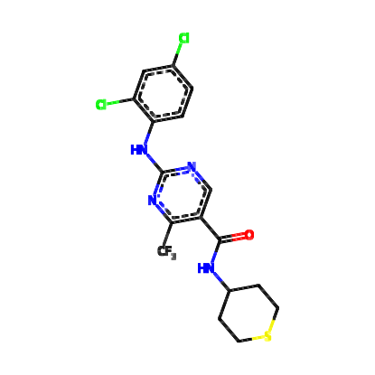 O=C(NC1CCSCC1)c1cnc(Nc2ccc(Cl)cc2Cl)nc1C(F)(F)F